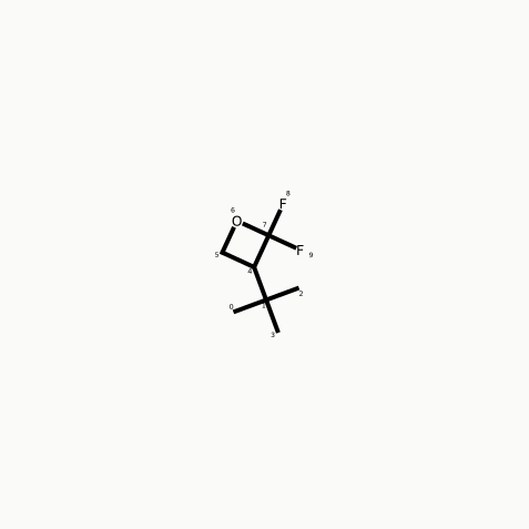 CC(C)(C)C1COC1(F)F